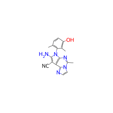 Cc1ccc(O)c(C)c1-n1c(N)c(C#N)c2c1nc(C)n1ccnc21